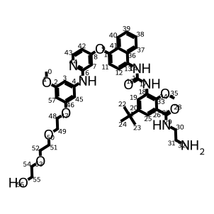 COc1cc(Nc2cc(Oc3ccc(NC(=O)Nc4cc(C(C)(C)C)cc(C(=O)NCCN)c4OC)c4ccccc34)ccn2)cc(OCCOCCOCCO)c1